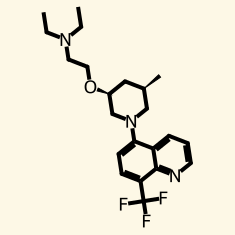 CCN(CC)CCO[C@H]1C[C@@H](C)CN(c2ccc(C(F)(F)F)c3ncccc23)C1